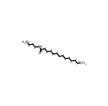 CCCCCCCCCCCCCC(=O)NCCCN